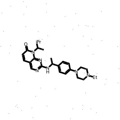 CCN1CCN(c2ccc(C(C)Nc3ncc4ccc(=O)n(C(C)C(C)C)c4n3)cc2)CC1